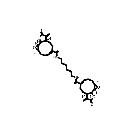 C=C1C(=O)O[C@H]2[C@H]1CC/C(C(=O)NCCCCCCNC(=O)/C1=C/CC[C@@]3(C)O[C@H]3[C@H]3OC(=O)C(=C)[C@@H]3CC1)=C\CC[C@@]1(C)O[C@@H]21